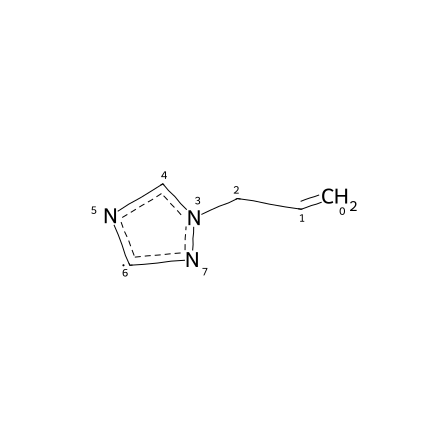 C=CCn1cn[c]n1